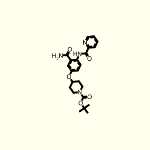 CC(C)(C)OC(=O)N1CCC(Oc2ccc(NC(=O)c3ccccn3)c(C(N)=O)c2)CC1